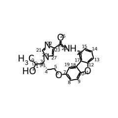 C[C@H](O)[C@@H](CCOc1ccc2oc3ccccc3c2c1)n1cnc(C(N)=O)c1